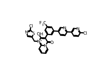 O=c1c(-c2cc(-c3ccc(-c4ccc(Cl)nc4)nc3)cc(C(F)(F)F)c2)c(O)[n+](Cc2cnc(Cl)s2)c2ccccn12